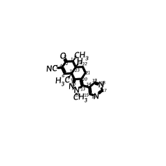 C[C@@H]1C(=O)C(C#N)=C[C@]2(C)c3nn(C)c(-c4cncnc4)c3CC[C@@H]12